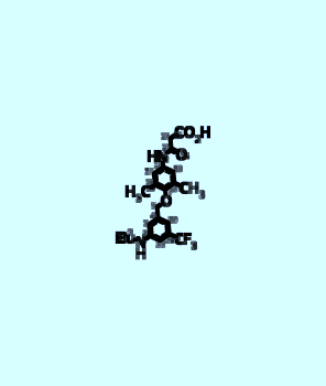 CCC(C)Nc1cc(COc2c(C)cc(NC(=O)CC(=O)O)cc2C)cc(C(F)(F)F)c1